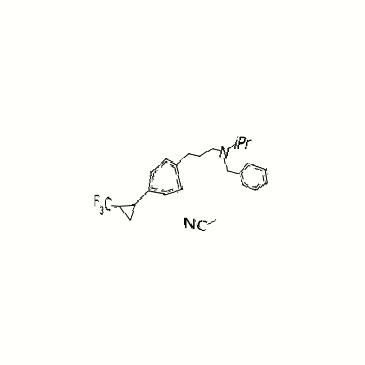 CC#N.CC(C)N(CCCc1ccc(C2CC2C(F)(F)F)cc1)Cc1ccccc1